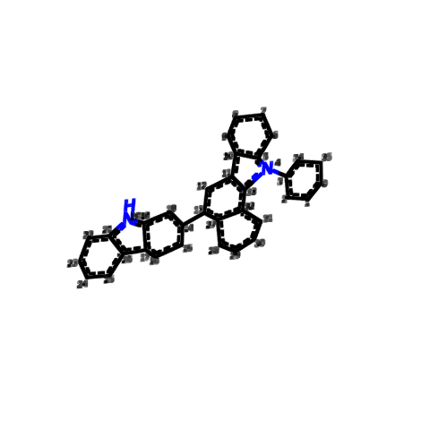 c1ccc(-n2c3ccccc3c3cc(-c4ccc5c(c4)[nH]c4ccccc45)c4ccccc4c32)cc1